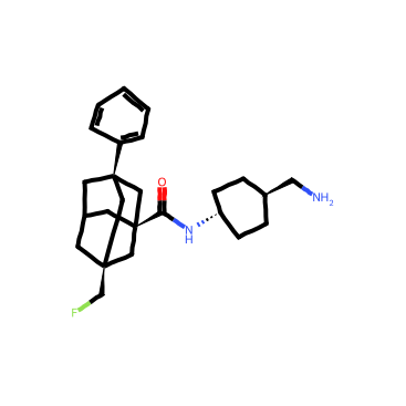 NC[C@H]1CC[C@H](NC(=O)[C@]23CC4C[C@@](CF)(C2)C[C@](c2ccccc2)(C4)C3)CC1